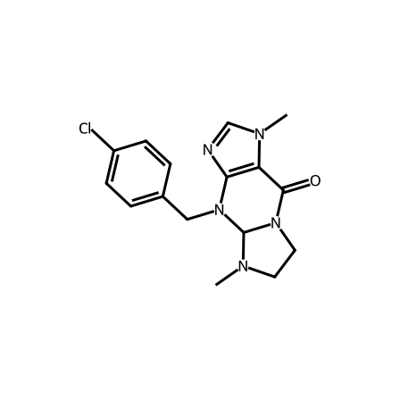 CN1CCN2C(=O)c3c(ncn3C)N(Cc3ccc(Cl)cc3)C12